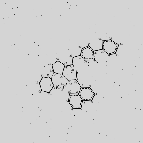 C[C@@H](c1cccc2ccccc12)N(C(=O)O)C1[C@H](N2CCCCC2)CC[C@H]1OCc1ccc(-c2ccccc2)cc1